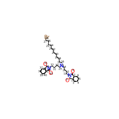 O=C1c2ccccc2C(=O)N1CCCCN(CCCCCCCCCCCCBr)CCCCN1C(=O)c2ccccc2C1=O